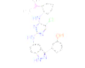 CP(C)c1ccccc1Nc1nc(Nc2ccc3[nH]nc(-c4cccc(O)c4)c3c2)ncc1Cl